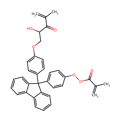 C=C(C)C(=O)OOc1ccc(C2(c3ccc(OCC(O)C(=O)C(=C)C)cc3)c3ccccc3-c3ccccc32)cc1